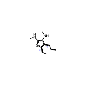 C=C/C=c1/c(NC)c(NC)s/c1=C/C